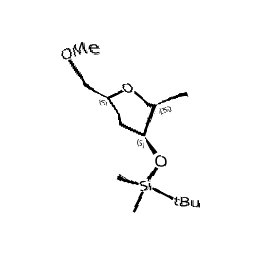 COC[C@@H]1C[C@H](O[Si](C)(C)C(C)(C)C)[C@H](C)O1